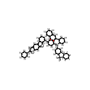 CC1(C)c2ccccc2-c2cc(N(c3ccc(-c4cccc5c4oc4cc6oc(-c7ccccc7)nc6cc45)cc3)c3ccccc3-c3ccc4ccccc4c3)ccc21